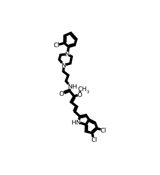 COC(=CC=Cc1cc2cc(Cl)c(Cl)cc2[nH]1)C(=O)NCCCN1CCN(c2ccccc2Cl)CC1